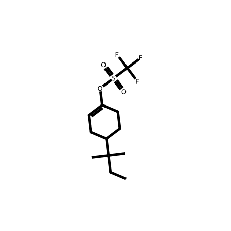 CCC(C)(C)C1CC=C(OS(=O)(=O)C(F)(F)F)CC1